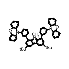 Cn1c2c(-c3cccc(N4c5ccccc5Oc5ccccc54)c3)cc(C(C)(C)C)cc2c2cc(C(C)(C)C)cc(-c3cccc(N4c5ccccc5Oc5ccccc54)c3)c21